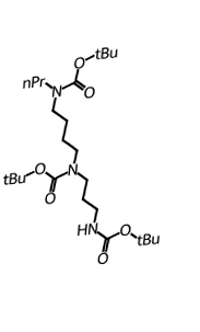 CCCN(CCCCN(CCCNC(=O)OC(C)(C)C)C(=O)OC(C)(C)C)C(=O)OC(C)(C)C